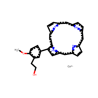 COc1ccc(-c2cc3cc4nc(cc5ccc(cc6nc(cc2[nH]3)C=C6)[nH]5)C=C4)cc1CCO.[Co+2]